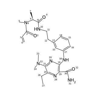 C=CC(=O)N(C)[C@@H](C)C(=O)NCCc1cccc(Nc2nc(N(C)C)c(CC)nc2C(N)=O)c1